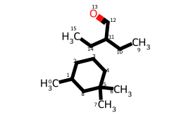 CC1CCCC(C)(C)C1.CCC(C=O)CC